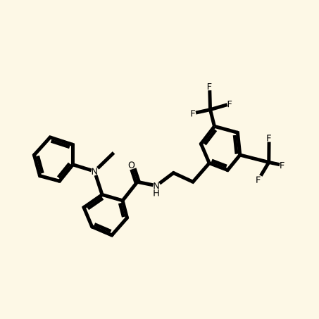 CN(c1ccccc1)c1ccccc1C(=O)NCCc1cc(C(F)(F)F)cc(C(F)(F)F)c1